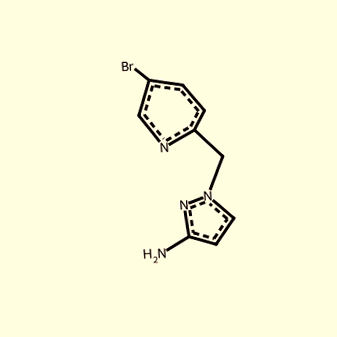 Nc1ccn(Cc2ccc(Br)cn2)n1